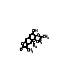 CC(=O)OC1C(O)C=C2C=C3OC(=O)C(C)=C3CC2(C)C1C